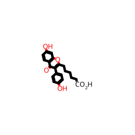 O=C(O)CCCCCc1oc2cc(O)ccc2c(=O)c1-c1ccc(O)cc1